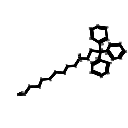 CCCCCCCCCCCCCCCCCCNCCC(c1ccccc1)(c1ccccc1)c1ccccc1